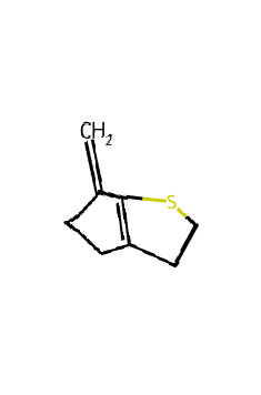 C=C1CCC2=C1SCC2